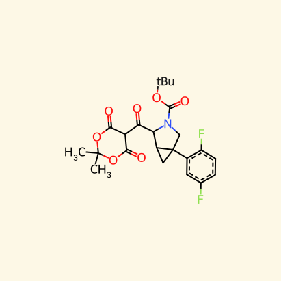 CC(C)(C)OC(=O)N1CC2(c3cc(F)ccc3F)CC2C1C(=O)C1C(=O)OC(C)(C)OC1=O